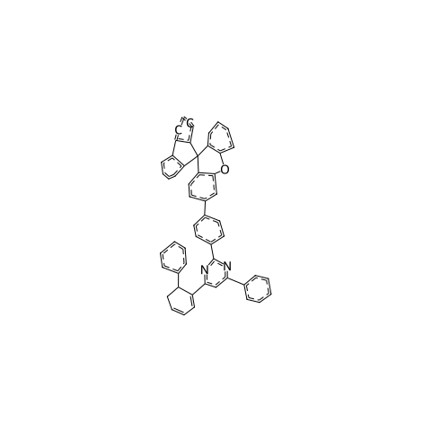 C1=CCC(c2ccccc2)C(c2cc(-c3ccccc3)nc(-c3ccc(-c4ccc5c(c4)Oc4ccccc4C54c5ccccc5-c5ccccc54)cc3)n2)=C1